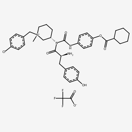 C[N+]1(Cc2ccc(Cl)cc2)CCC[C@H](N(C(=O)Nc2ccc(OC(=O)C3CCCCC3)cc2)C(=O)[C@@H](N)Cc2ccc(O)cc2)C1.O=C([O-])C(F)(F)F